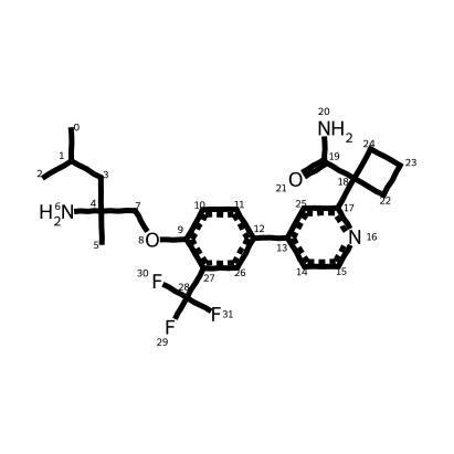 CC(C)CC(C)(N)COc1ccc(-c2ccnc(C3(C(N)=O)CCC3)c2)cc1C(F)(F)F